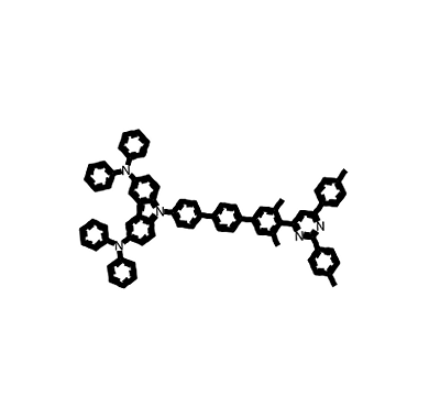 Cc1ccc(-c2cc(-c3c(C)cc(-c4ccc(-c5ccc(-n6c7ccc(N(c8ccccc8)c8ccccc8)cc7c7cc(N(c8ccccc8)c8ccccc8)ccc76)cc5)cc4)cc3C)nc(-c3ccc(C)cc3)n2)cc1